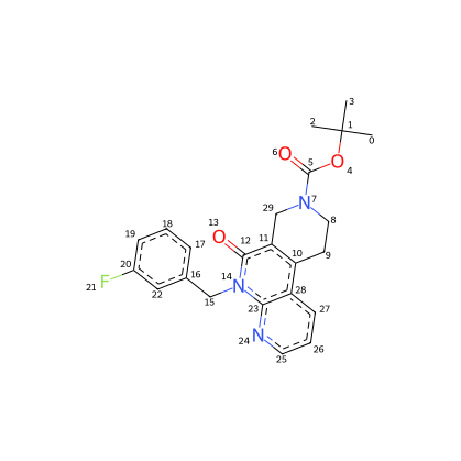 CC(C)(C)OC(=O)N1CCc2c(c(=O)n(Cc3cccc(F)c3)c3ncccc23)C1